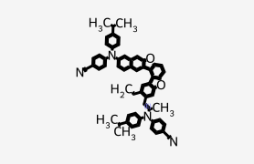 C=Cc1cc2c(cc1/C=C(\C)N(c1ccc(C#N)cc1)c1ccc(C(C)C)cc1)oc1ccc3oc4cc5cc(N(c6ccc(C#N)cc6)c6ccc(C(C)C)cc6)ccc5cc4c3c12